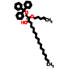 C=CCCCO[C@H](COC(c1ccccc1)(c1ccccc1)c1ccccc1)C(O)CCCCCCCCCCCCCCCC